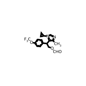 Cc1ncn(C2CC2)c1C(COC=O)c1ccc(OC(F)(F)F)cc1